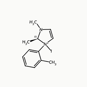 Cc1ccccc1[N+]1(I)C=CN(C)[C@@H]1C